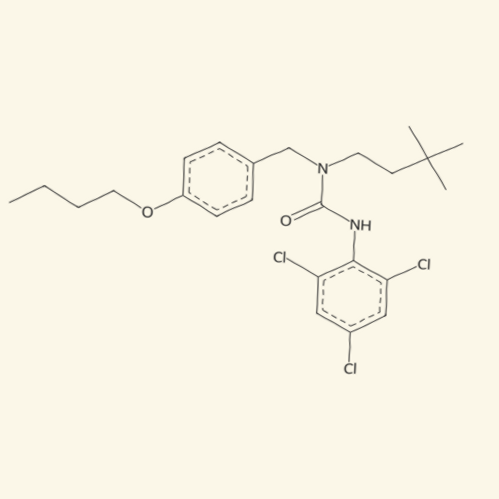 CCCCOc1ccc(CN(CCC(C)(C)C)C(=O)Nc2c(Cl)cc(Cl)cc2Cl)cc1